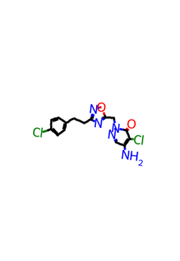 Nc1cnn(Cc2nc(CCc3ccc(Cl)cc3)no2)c(=O)c1Cl